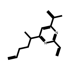 C=CCCC(C)c1cc(C(=C)C)nc(C=C)n1